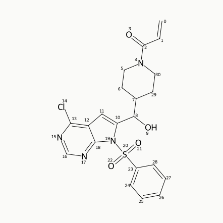 C=CC(=O)N1CCC(C(O)c2cc3c(Cl)ncnc3n2S(=O)(=O)c2ccccc2)CC1